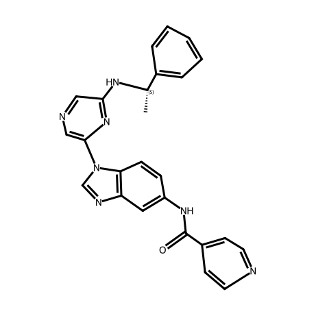 C[C@H](Nc1cncc(-n2cnc3cc(NC(=O)c4ccncc4)ccc32)n1)c1ccccc1